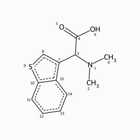 CN(C)C(C(=O)O)c1csc2ccccc12